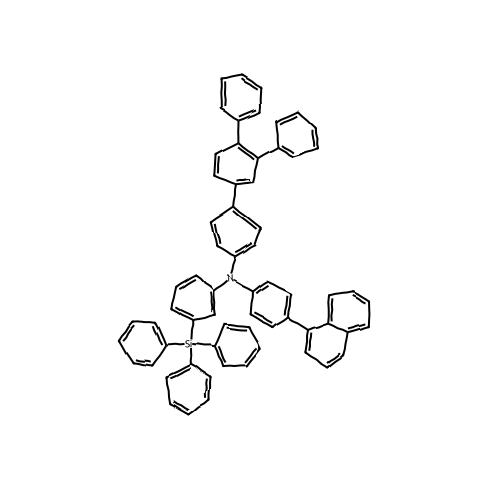 c1ccc(-c2ccc(-c3ccc(N(c4ccc(-c5cccc6ccccc56)cc4)c4cccc([Si](c5ccccc5)(c5ccccc5)c5ccccc5)c4)cc3)cc2-c2ccccc2)cc1